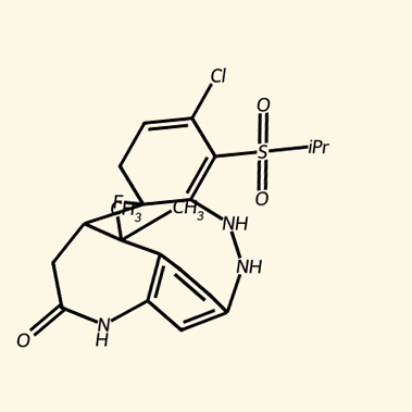 CC(C)S(=O)(=O)C1=C2NNc3ccc4c(c3)NC(=O)CC(C2(F)CC=C1Cl)C4(C)C